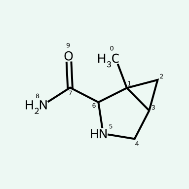 CC12CC1CNC2C(N)=O